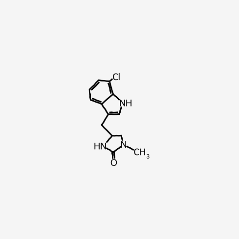 CN1CC(Cc2c[nH]c3c(Cl)cccc23)NC1=O